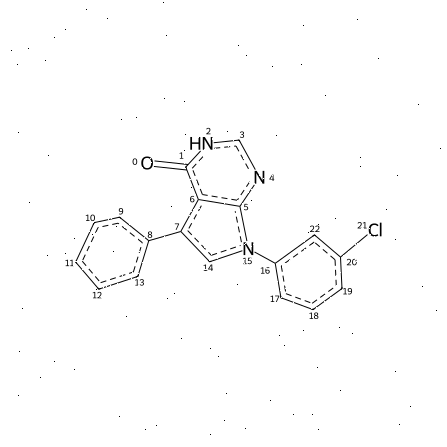 O=c1[nH]cnc2c1c(-c1ccccc1)cn2-c1cccc(Cl)c1